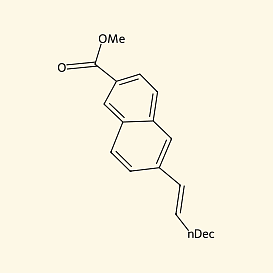 CCCCCCCCCC/C=C/c1ccc2cc(C(=O)OC)ccc2c1